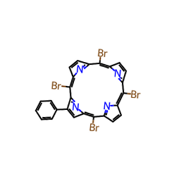 BrC1=C2C=CC(=N2)C(Br)=C2C=C(c3ccccc3)C(=N2)C(Br)=C2C=CC(=N2)C(Br)=C2C=CC1=N2